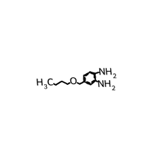 CCCCOCc1ccc(N)c(N)c1